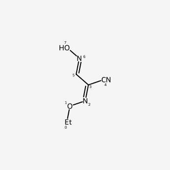 CCON=C(C#N)C=NO